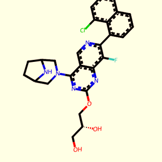 OC[C@@H](O)COc1nc(N2CC3CCC(C2)N3)c2cnc(-c3cccc4cccc(Cl)c34)c(F)c2n1